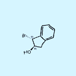 O[C@@H]1Cc2ccccc2[C@H]1Br